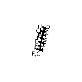 O=C(Cl)C(Cl)(Cl)C(F)(F)C(F)(F)C(F)(F)C(F)(F)C(F)(F)C(F)(F)F